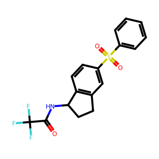 O=C(NC1CCc2cc(S(=O)(=O)c3ccccc3)ccc21)C(F)(F)F